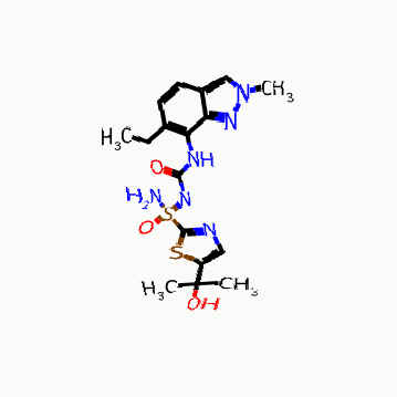 CCc1ccc2cn(C)nc2c1NC(=O)N=S(N)(=O)c1ncc(C(C)(C)O)s1